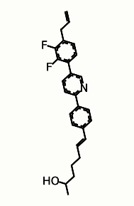 C=CCc1ccc(-c2ccc(-c3ccc(C=CCCCC(C)O)cc3)nc2)c(F)c1F